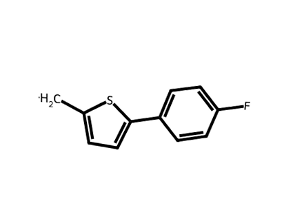 [CH2]c1ccc(-c2ccc(F)cc2)s1